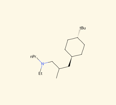 CCCN(CC)CC(C)C[C@H]1CC[C@H](C(C)(C)C)CC1